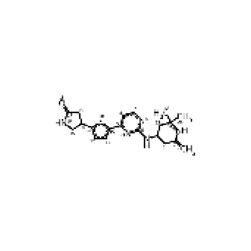 C=C1CC(Nc2nccc(-c3ccc(C4CNC(=O)C4)s3)n2)CC(C)(C)N1